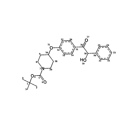 CC(C)(C)OC(=O)N1CCC(Oc2ccc(C(=O)C(O)c3ccccc3)cc2)CC1